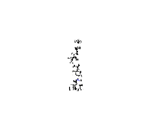 CN(CCCN(C)c1ccc(/C=C/C2=CNCC=C2)cc1)C(=O)CSSCC=O